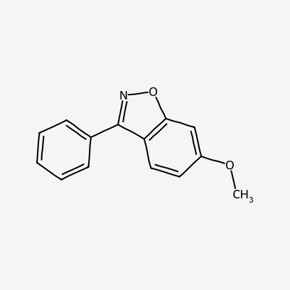 COc1ccc2c(-c3ccccc3)noc2c1